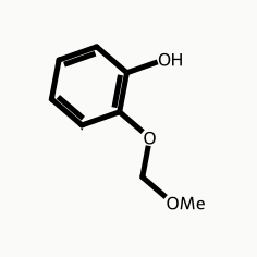 COCOc1[c]cccc1O